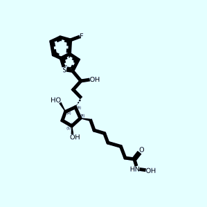 O=C(CCCCCC[C@@H]1[C@@H](CCC(O)c2cc3c(F)cccc3s2)[C@H](O)C[C@@H]1O)NO